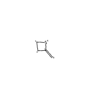 C=C1CCS1